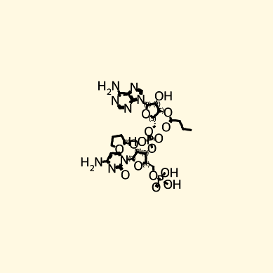 CCCC(=O)O[C@H]1[C@@H](O)[C@H](n2cnc3c(N)ncnc32)O[C@H]1COP(=O)(O)O[C@H]1[C@@H](O[C@@H]2CCCO2)[C@H](n2ccc(N)nc2=O)O[C@@H]1COP(=O)(O)O